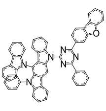 c1ccc(-c2nc(-c3ccc4c(c3)oc3ccccc34)nc(-n3c4ccccc4c4c(-n5c6ccccc6c6ccccc65)c5c(cc43)c3ccccc3n5-c3ccccc3)n2)cc1